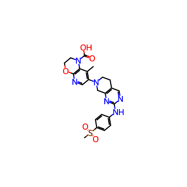 Cc1c(N2CCc3cnc(Nc4ccc(S(C)(=O)=O)cc4)nc3C2)cnc2c1N(C(=O)O)CCO2